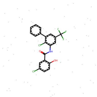 O=C(Nc1cc(C(F)(F)F)cc(-c2ccccc2)c1Cl)c1cc(Cl)ccc1O